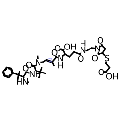 CNC(C(=O)NC(C(=O)N(C)C/C=C(\C)C(=O)NC(CCC(=O)NCCN1C(=O)CC(SCCC(=O)O)C1=O)C(=O)O)C(C)(C)C)C(C)(C)c1ccccc1